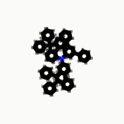 c1ccc(-c2cc(-c3ccccc3)cc(N(c3ccc4c(c3)c(-c3ccccc3)c(-c3ccccc3)c3ccccc34)c3cccc4c3-c3ccccc3C4(c3ccccc3)c3ccccc3)c2)cc1